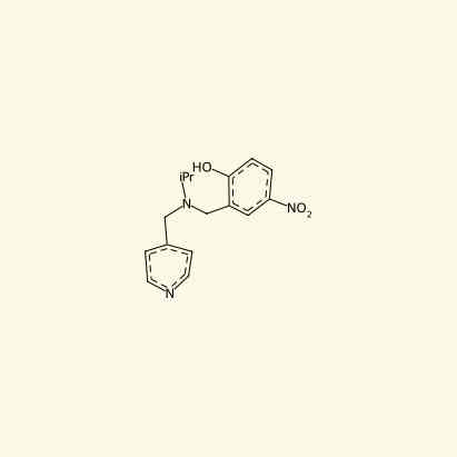 CC(C)N(Cc1ccncc1)Cc1cc([N+](=O)[O-])ccc1O